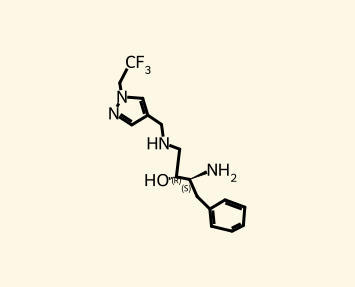 N[C@@H](Cc1ccccc1)[C@H](O)CNCc1cnn(CC(F)(F)F)c1